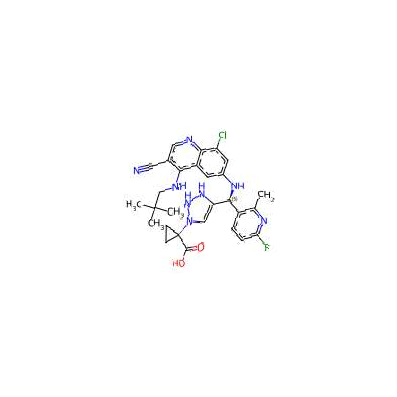 Cc1nc(F)ccc1[C@H](Nc1cc(Cl)c2ncc(C#N)c(NCC(C)(C)C)c2c1)C1=CN(C2(C(=O)O)CC2)NN1